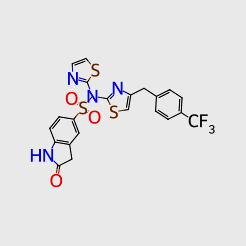 O=C1Cc2cc(S(=O)(=O)N(c3nccs3)c3nc(Cc4ccc(C(F)(F)F)cc4)cs3)ccc2N1